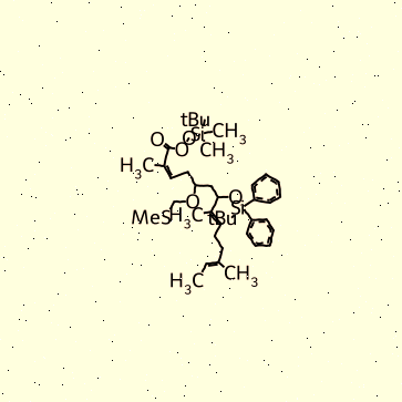 CC=C(C)CCC=C(C)C(CC(CC=C(C)C(=O)OO[Si](C)(C)C(C)(C)C)OCSC)O[Si](c1ccccc1)(c1ccccc1)C(C)(C)C